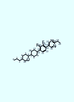 CCCC1CCC(C2CCC(c3ccc(-c4cnc(CC)nc4)c(F)c3F)CC2)OC1